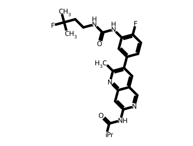 Cc1nc2cc(NC(=O)C(C)C)ncc2cc1-c1ccc(F)c(NC(=O)NCCC(C)(C)F)c1